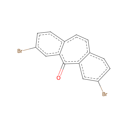 O=c1c2cc(Br)ccc2ccc2ccc(Br)cc12